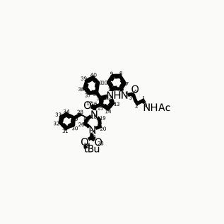 CC(=O)NCCC(=O)Nc1ccccc1-n1ccc(C(=O)N2CCN(C(=O)OC(C)(C)C)C[C@H]2Cc2ccccc2)c1-c1ccccc1